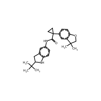 CC1(C)COc2ccc(C3(C(=O)Nc4ccc5c(c4)CC(C(C)(C)C)N5)CC3)cc21